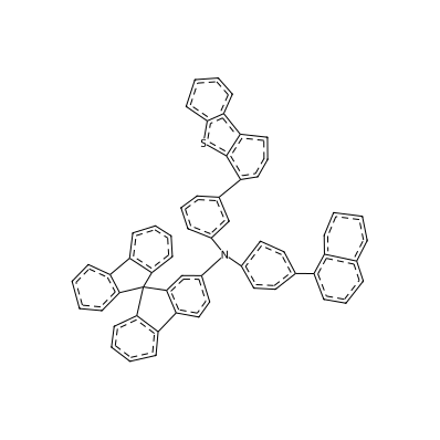 c1cc(-c2cccc3c2sc2ccccc23)cc(N(c2ccc(-c3cccc4ccccc34)cc2)c2ccc3c(c2)C2(c4ccccc4-c4ccccc42)c2ccccc2-3)c1